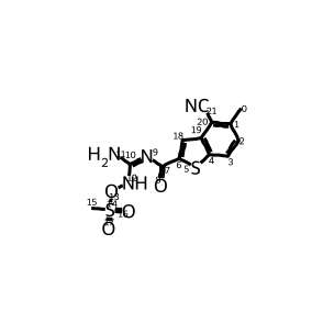 Cc1ccc2sc(C(=O)N=C(N)NOS(C)(=O)=O)cc2c1C#N